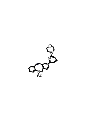 CC(=O)N1Cc2ccc(-c3cccc(N4CCOCC4)n3)cc2/C=C\c2ccccc21